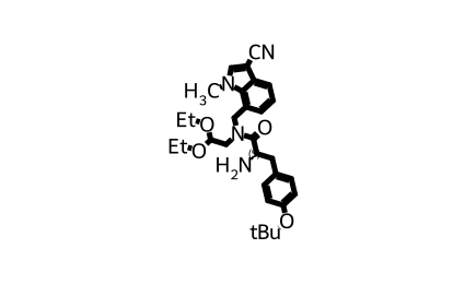 CCOC(CN(Cc1cccc2c(C#N)cn(C)c12)C(=O)[C@@H](N)Cc1ccc(OC(C)(C)C)cc1)OCC